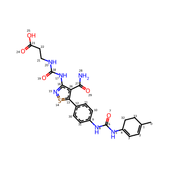 CC1=CC=C(NC(=O)Nc2ccc(-c3snc(NC(=O)NCCC(=O)O)c3C(N)=O)cc2)CC1